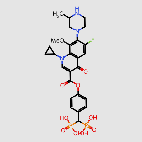 COc1c(N2CCNC(C)C2)c(F)cc2c(=O)c(C(=O)Oc3ccc(C(P(=O)(O)O)P(=O)(O)O)cc3)cn(C3CC3)c12